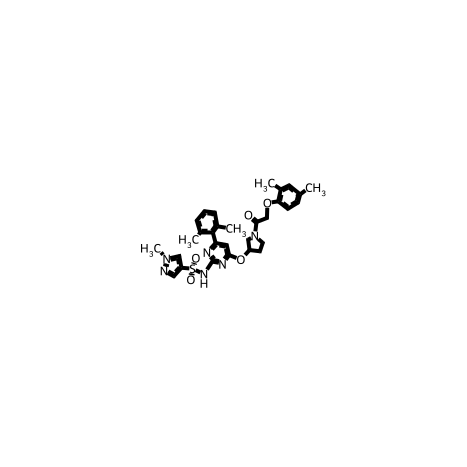 Cc1ccc(OCC(=O)N2CCC(Oc3cc(-c4c(C)cccc4C)nc(NS(=O)(=O)c4cnn(C)c4)n3)C2)c(C)c1